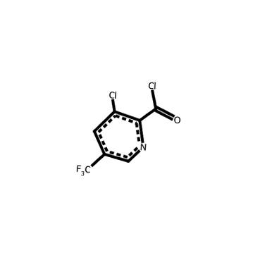 O=C(Cl)c1ncc(C(F)(F)F)cc1Cl